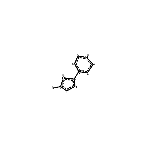 Cc1ccc(-c2ccncc2)o1